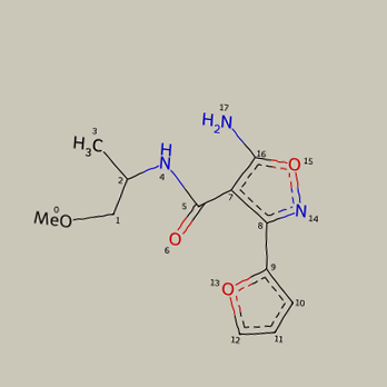 COCC(C)NC(=O)c1c(-c2ccco2)noc1N